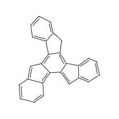 C1=c2ccccc2=c2c1c1c(c3c2=Cc2ccccc2-3)Cc2ccccc2-1